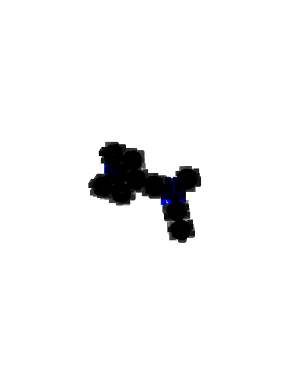 c1ccc(-c2ccc(-c3nc(-c4ccccc4)nc(-c4ccc(-c5ccc(-c6c(-c7ccccc7)c(-c7ccccc7)nc(-c7ccccc7)c6-c6ccccc6)cc5)cc4)n3)cc2)cc1